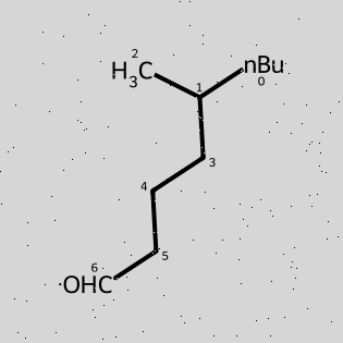 CCCCC(C)CCC[C]=O